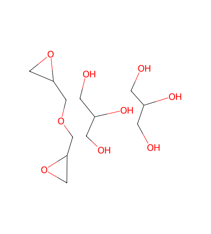 C(OCC1CO1)C1CO1.OCC(O)CO.OCC(O)CO